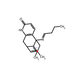 C/C=C1\C2C=C(C)CC1(N=CCCC)c1ccc(=O)[nH]c1C2